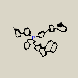 c1ccc(-c2ccc(-c3ccc(N(c4cccc(-c5ccccc5)c4)c4cc(-c5ccc6ccc7c8ccccc8ccc7c6c5)c5ccccc5c4)cc3)cc2)cc1